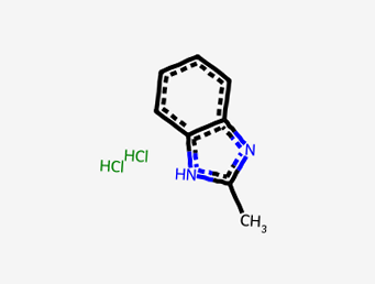 Cc1nc2ccccc2[nH]1.Cl.Cl